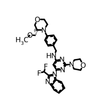 COC[C@@H]1COCCN1c1ccc(CNc2cc(-n3c(C(F)F)nc4ccccc43)nc(N3CCOCC3)n2)cc1